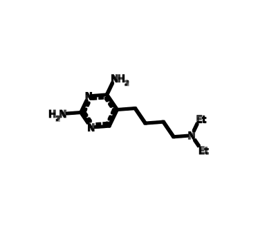 CCN(CC)CCCCc1cnc(N)nc1N